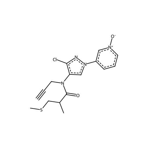 C#CCN(C(=O)C(C)CSC)c1cn(-c2ccc[n+]([O-])c2)nc1Cl